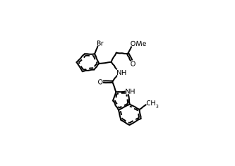 COC(=O)CC(NC(=O)c1cc2cccc(C)c2[nH]1)c1ccccc1Br